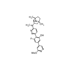 COc1cc(-c2cc(O)c(-c3ccc(N(C)C4C[C@]5(C)CC[C@](C)(C4)N5)nn3)c(F)c2)cnn1